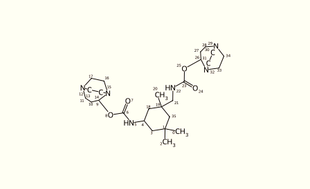 CC1(C)CC(NC(=O)OC2CCN3CCN2CC3)CC(C)(CNC(=O)OC2CCN3CCN2CC3)C1